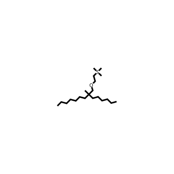 CCCCCCCC(C)(CCCCCC)COCCS(C)(C)C